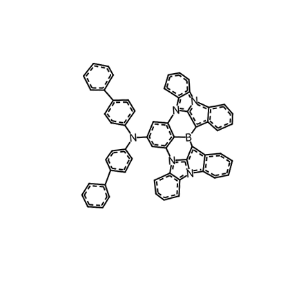 c1ccc(-c2ccc(N(c3ccc(-c4ccccc4)cc3)c3cc4c5c(c3)-n3c6ccccc6n6c7ccccc7c(c36)B5c3c5ccccc5n5c6ccccc6n-4c35)cc2)cc1